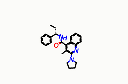 CC[C@H](NC(=O)c1c(C)c(N2CCCC2)nc2ccccc12)c1ccccc1